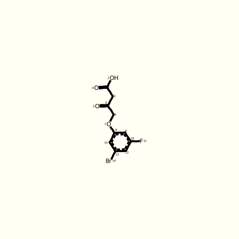 O=C(O)CC(=O)COc1cc(F)cc(Br)c1